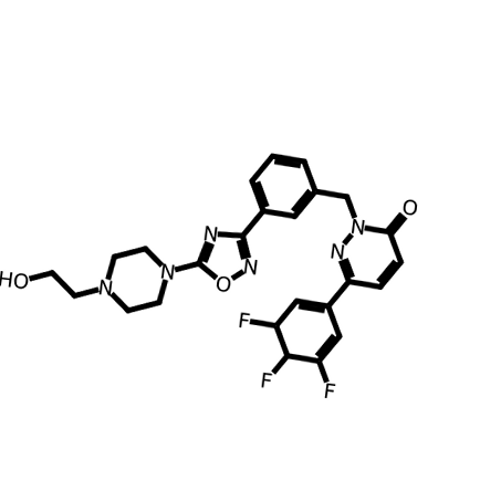 O=c1ccc(C2=CC(F)C(F)C(F)=C2)nn1Cc1cccc(-c2noc(N3CCN(CCO)CC3)n2)c1